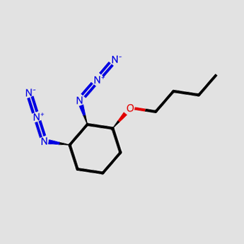 CCCCO[C@H]1CCC[C@@H](N=[N+]=[N-])[C@H]1N=[N+]=[N-]